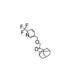 O=C(COCc1ccc(C(F)(F)F)nc1)C12CC3CC(CC(C3)C1)C2